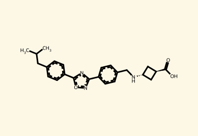 CC(C)Cc1ccc(-c2nc(-c3ccc(CN[C@H]4C[C@H](C(=O)O)C4)cc3)no2)cc1